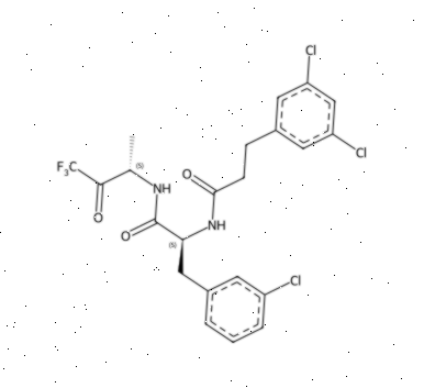 C[C@H](NC(=O)[C@H](Cc1cccc(Cl)c1)NC(=O)CCc1cc(Cl)cc(Cl)c1)C(=O)C(F)(F)F